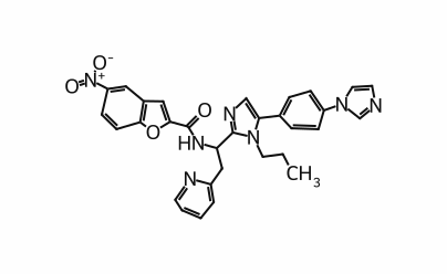 CCCn1c(-c2ccc(-n3ccnc3)cc2)cnc1C(Cc1ccccn1)NC(=O)c1cc2cc([N+](=O)[O-])ccc2o1